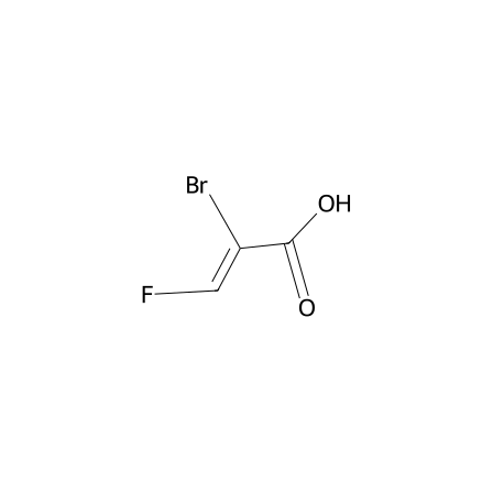 O=C(O)C(Br)=CF